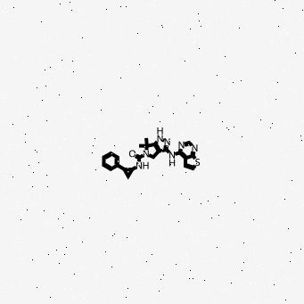 CC1(C)c2[nH]nc(Nc3ncnc4sccc34)c2CN1C(=O)NC1CC1c1ccccc1